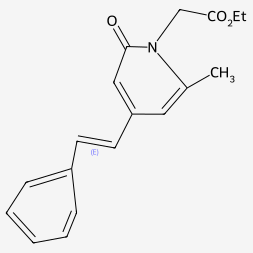 CCOC(=O)Cn1c(C)cc(/C=C/c2ccccc2)cc1=O